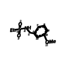 CCS(=O)(=O)NCc1cccc(OC)c1